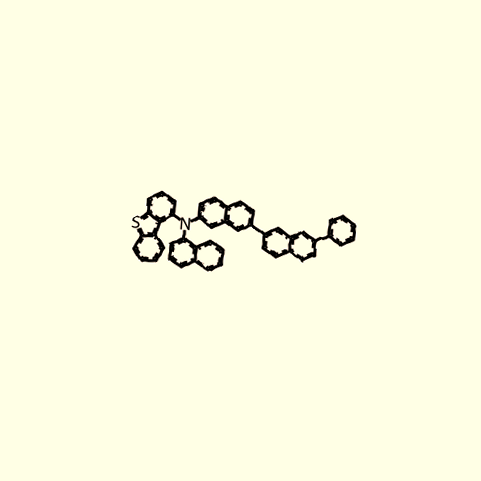 c1ccc(-c2ccc3ccc(-c4ccc5ccc(N(c6cccc7ccccc67)c6cccc7sc8ccccc8c67)cc5c4)cc3c2)cc1